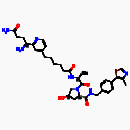 Cc1ncsc1-c1ccc(CNC(=O)[C@@H]2C[C@@H](O)CN2C(=O)[C@@H](NC(=O)CCCCCc2ccnc([C@@H](N)CCC(N)=O)c2)C(C)(C)C)cc1